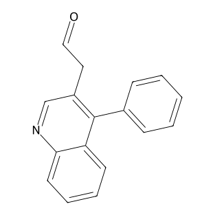 O=CCc1cnc2ccccc2c1-c1ccccc1